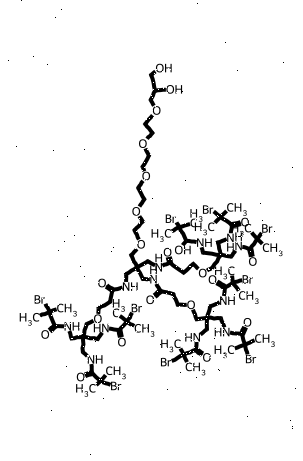 CC(C)(Br)C(=O)NCC(CNC(=O)C(C)(C)Br)(CNC(=O)C(C)(C)Br)COCCC(=O)NCC(CNC(=O)CCOCC(CNC(=O)C(C)(C)Br)(CNC(=O)C(C)(C)Br)CNC(=O)C(C)(C)Br)(CNC(=O)CCOCC(CNC(=O)C(C)(C)Br)(CNC(=O)C(C)(C)Br)CNC(O)C(C)(C)Br)COCCOCCOCCOCCOCC(O)CO